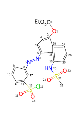 CCOC(=O)Oc1ccc(N=Nc2cccc(S(=O)(=O)Cl)c2)c2c(NS(C)(=O)=O)cccc12